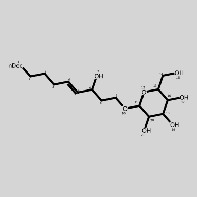 CCCCCCCCCCCCC/C=C/C(O)CCOC1OC(CO)C(O)C(O)C1O